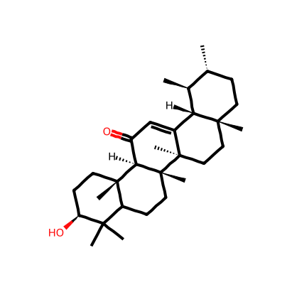 C[C@H]1[C@H](C)CC[C@]2(C)CC[C@]3(C)C(=CC(=O)[C@@H]4[C@@]5(C)CC[C@H](O)C(C)(C)C5CC[C@]43C)[C@H]12